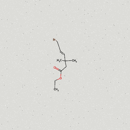 CCOC(=O)CC(C)(C)C=CCBr